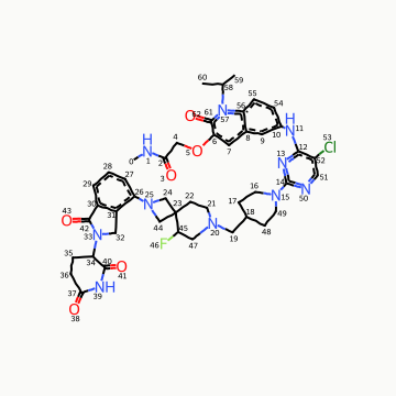 CNC(=O)COc1cc2cc(Nc3nc(N4CCC(CN5CCC6(CN(c7cccc8c7CN(C7CCC(=O)NC7=O)C8=O)C6)C(F)C5)CC4)ncc3Cl)ccc2n(C(C)C)c1=O